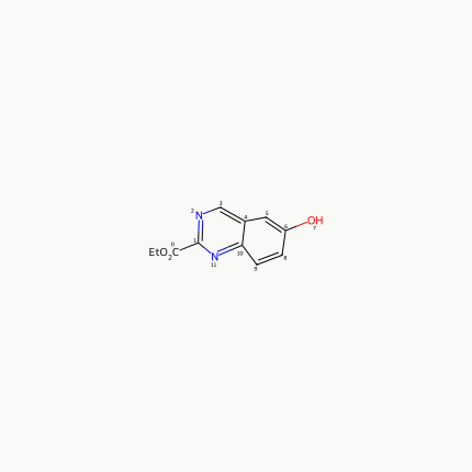 CCOC(=O)c1ncc2cc(O)ccc2n1